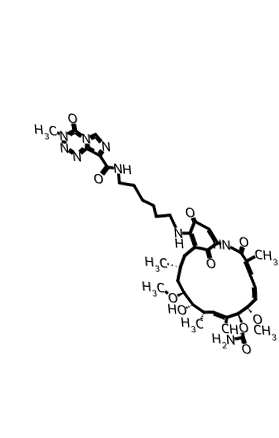 CO[C@H]1/C=C\C=C(/C)C(=O)NC2=CC(=O)C(NCCCCCCNC(=O)c3ncn4c(=O)n(C)nnc34)=C(C[C@@H](C)C[C@H](OC)[C@@H](O)[C@@H](C)/C=C(\C)[C@@H]1OC(N)=O)C2=O